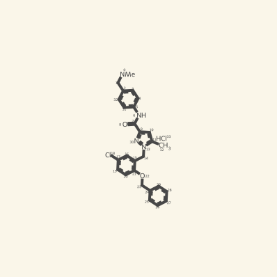 CNCc1ccc(NC(=O)c2cc(C)n(Cc3cc(Cl)ccc3OCc3ccccc3)n2)cc1.Cl